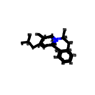 Cc1c[n+]2c(cc1CC(C)C)-c1ccccc1CC2C